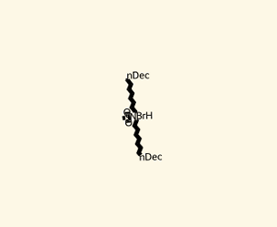 Br.CCCCCCCCCCCCCCCCCCN(CCCCCCCCCCCCCCCCCC)S(C)(=O)=O